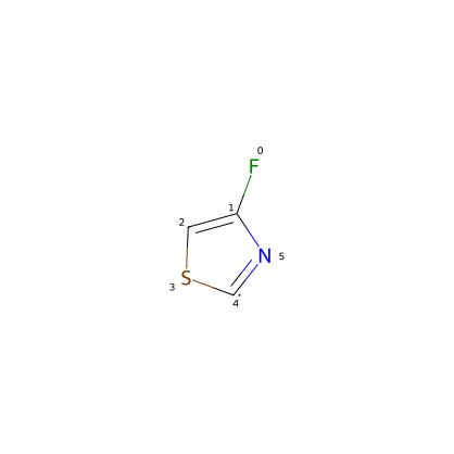 Fc1cs[c]n1